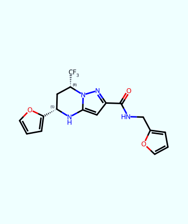 O=C(NCc1ccco1)c1cc2n(n1)[C@@H](C(F)(F)F)C[C@@H](c1ccco1)N2